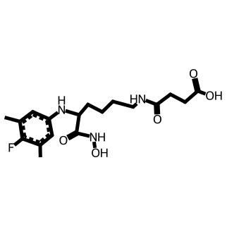 Cc1cc(NC(CCCCNC(=O)CCC(=O)O)C(=O)NO)cc(C)c1F